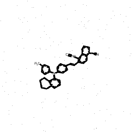 [C-]#[N+]c1c(C=Cc2ccc(N(c3ccc(C)cc3)c3cccc4c3CCCC4)cc2)ccc2c(C#N)cccc12